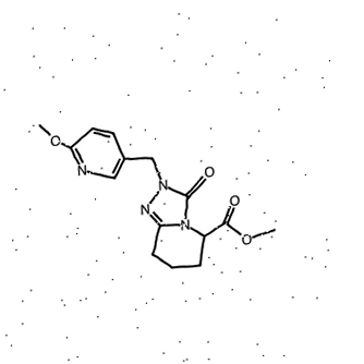 COC(=O)C1CCCc2nn(Cc3ccc(OC)nc3)c(=O)n21